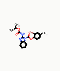 Cc1ccc(OC(=O)n2c(NC(=O)OC(C)C)nc3ccccc32)c(Br)c1